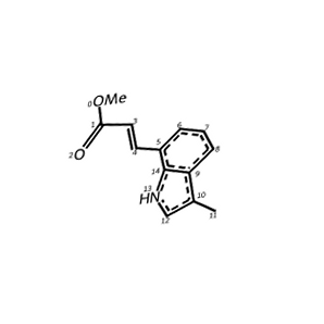 COC(=O)/C=C/c1cccc2c(C)c[nH]c12